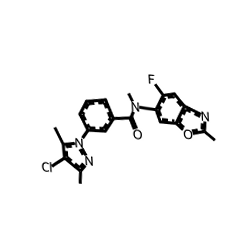 Cc1nc2cc(F)c(N(C)C(=O)c3cccc(-n4nc(C)c(Cl)c4C)c3)cc2o1